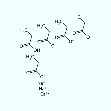 CCC(=O)O.CCC(=O)[O-].CCC(=O)[O-].CCC(=O)[O-].CCC(=O)[O-].[Ca+2].[Na+].[Na+]